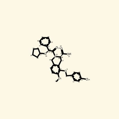 COc1ccc2c(c1OCc1ccc(Cl)cc1)C[C@H](C(=O)O)N(C(=O)[C@@H](OC1CCCC1)c1ccccc1)C2